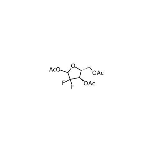 CC(=O)OC[C@H]1OC(OC(C)=O)C(F)(F)[C@@H]1OC(C)=O